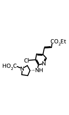 CCOC(=O)/C=C/c1cnc(N[C@@H]2CCN(C(=O)O)C2)c(Cl)c1